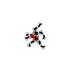 FC(F)(COCC1CO1)COCC(COC(F)(F)CCOCC1CO1)(C(F)(F)OC(F)(F)CCOCC1CO1)C(F)(F)OC(F)(F)C(COCC(F)(F)COCC1CO1)(C(F)(F)OCC(F)(F)COC1CO1)C(F)(F)OC(F)(F)CCOC1CO1